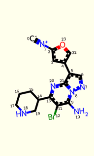 [C-]#[N+]c1cc(-c2cnn3c(N)c(Br)c(C4CCCNC4)nc23)co1